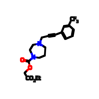 CCOC(=O)COC(=O)N1CCCN(CC#Cc2cccc(C(F)(F)F)c2)CC1